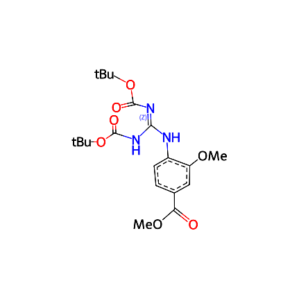 COC(=O)c1ccc(N/C(=N/C(=O)OC(C)(C)C)NC(=O)OC(C)(C)C)c(OC)c1